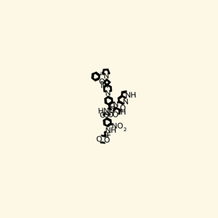 CC(C)Oc1ccccc1[C@@H]1CCCN1C1CC2(CCN(c3ccc(C(=O)NS(=O)(=O)c4ccc(NC[C@]5(F)COCCO5)c([N+](=O)[O-])c4)c(N4c5cc6cc[nH]c6nc5O[C@@H]5COC[C@H]54)c3)CC2)C1